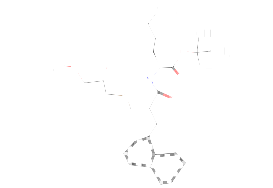 CCCC[C@H](NC(=O)[C@@H](CSC[C@@H](O)COC)Cc1cccc2ccccc12)C(=O)OC(C)(C)C